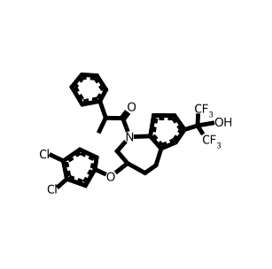 CC(C(=O)N1CC(Oc2ccc(Cl)c(Cl)c2)CCc2cc(C(O)(C(F)(F)F)C(F)(F)F)ccc21)c1ccccc1